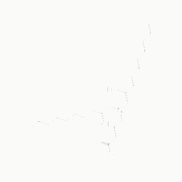 CCCCCCCCC(O)CN(CCCC(=O)O)CC(O)CCCCCCCC